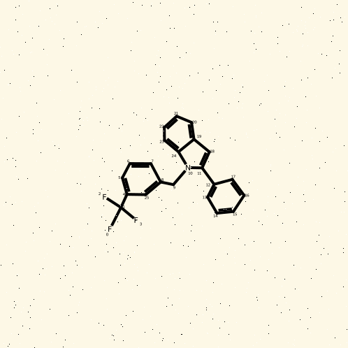 FC(F)(F)c1cccc(Cn2c(-c3ccccc3)cc3ccccc32)c1